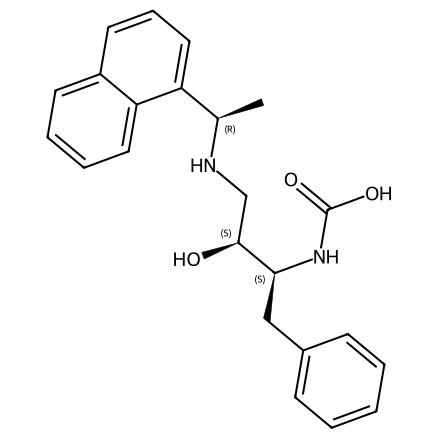 C[C@@H](NC[C@H](O)[C@H](Cc1ccccc1)NC(=O)O)c1cccc2ccccc12